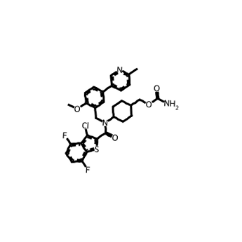 COc1ccc(-c2ccc(C)nc2)cc1CN(C(=O)c1sc2c(F)ccc(F)c2c1Cl)C1CCC(COC(N)=O)CC1